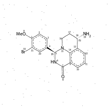 COc1ccc([C@@H]2NC(=O)c3cccc4c3N2CC[C@@H]4N)cc1Br